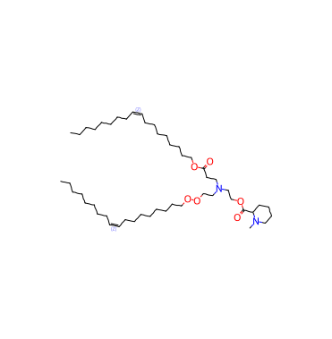 CCCCCCCC/C=C\CCCCCCCCOOCCN(CCOC(=O)C1CCCCN1C)CCC(=O)OCCCCCCCC/C=C\CCCCCCCC